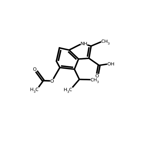 CC(=O)Oc1ccc2[nH]c(C)c(C(=O)O)c2c1C(C)C